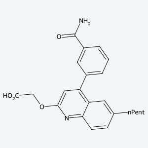 CCCCCc1ccc2nc(OCC(=O)O)cc(-c3cccc(C(N)=O)c3)c2c1